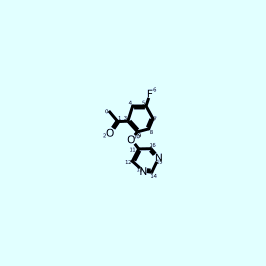 CC(=O)c1cc(F)ccc1Oc1cncnc1